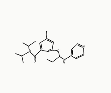 CCC(Nc1ccncc1)Oc1cc(C)cc(C(=O)N(C(C)C)C(C)C)c1